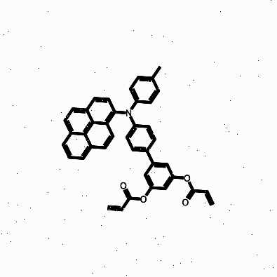 C=CC(=O)Oc1cc(OC(=O)C=C)cc(-c2ccc(N(c3ccc(C)cc3)c3ccc4ccc5cccc6ccc3c4c56)cc2)c1